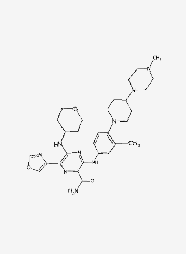 Cc1cc(Nc2nc(NC3CCOCC3)c(-c3cocn3)nc2C(N)=O)ccc1N1CCC(N2CCN(C)CC2)CC1